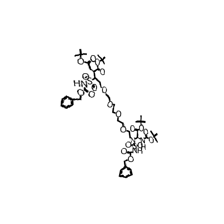 CC(C)(C)OC(=O)C[C@@H](C(=O)OC(C)(C)C)C(CCOCCOCCOCCOCCN([C@H](NC(=O)OC(C)(C)C)C(=O)OC(C)(C)C)S(=O)(=O)NC(=O)OCc1ccccc1)S(=O)(=O)NC(=O)OCc1ccccc1